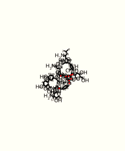 CC(C)C[C@@H](N)C(=O)NC1C(=O)NC(CC(N)=O)C(=O)N[C@H]2C(=O)NC3C(=O)N[C@H](C(=O)N[C@@H](C(=O)O)c4cc(O)cc(O)c4-c4cc3ccc4O)[C@H](OC3CC(C)(N)C(O)C(C)O3)c3ccc(c(Cl)c3)Oc3cc2cc(c3OC2OC(CO)C(O)C(O)C2OC2CC(C)(N)C(O)C(C)O2)Oc2ccc(cc2Cl)[C@H]1O